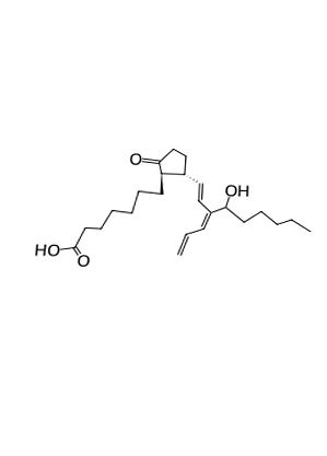 C=C/C=C(\C=C\[C@H]1CCC(=O)[C@@H]1CCCCCCC(=O)O)C(O)CCCCC